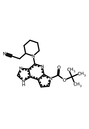 CC(C)(C)OC(=O)n1ccc2c3[nH]cnc3c(N3CCCCC3CC#N)nc21